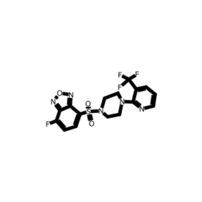 O=S(=O)(c1ccc(F)c2nonc12)N1CCN(c2ncccc2C(F)(F)F)CC1